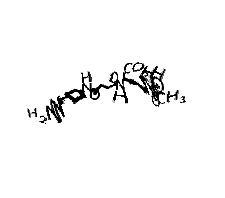 CS(=O)(=O)NCC#CC(CC(=O)O)NC(=O)CCC(=O)Nc1ccc(C=NN)cc1